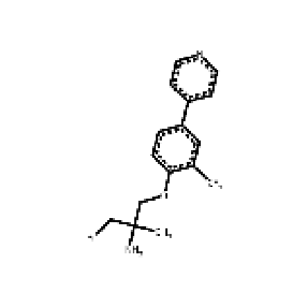 CC(C)CC(C)(N)COc1ccc(-c2ccncc2)cc1C(F)(F)F